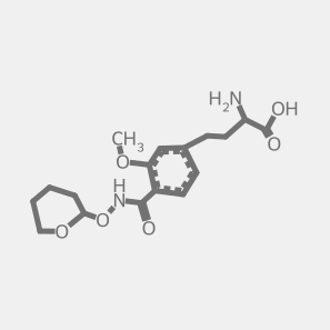 COc1cc(CCC(N)C(=O)O)ccc1C(=O)NOC1CCCCO1